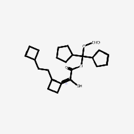 O=COC(OC(=O)/C(S)=C1/CCC1CCC1CCC1)(C1CCCC1)C1CCCC1